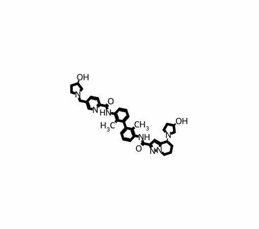 Cc1c(NC(=O)c2ccc(CN3CC[C@@H](O)C3)cn2)cccc1-c1cccc(NC(=O)c2cc3n(n2)CCC[C@H]3N2CC[C@@H](O)C2)c1C